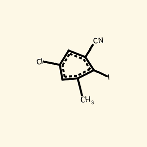 Cc1cc(Cl)cc(C#N)c1I